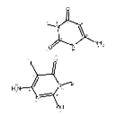 Cn1c(=O)cc(N)[nH]c1=O.Cn1c(O)nc(N)c(I)c1=O